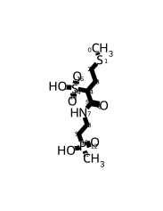 CSCCC(C(=O)NCCP(C)(=O)O)S(=O)(=O)O